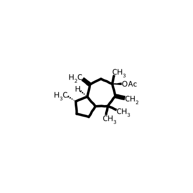 C=C1C[C@@](C)(OC(C)=O)C(=C)C(C)(C)C2CC[C@H](C)[C@@H]12